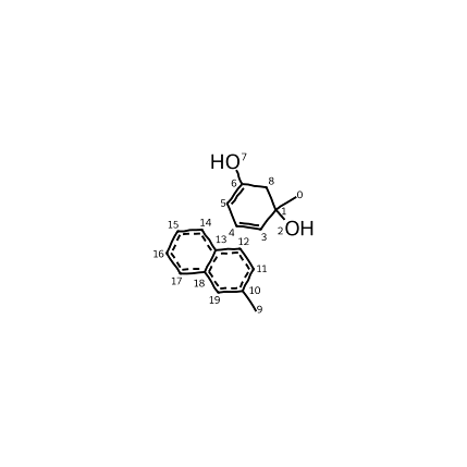 CC1(O)C=CC=C(O)C1.Cc1ccc2ccccc2c1